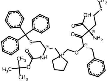 CSCC[C@@](N)(C(=O)O)C(=O)[C@H](Cc1ccccc1)OC[N+]1(C[C@@H](CSC(c2ccccc2)(c2ccccc2)c2ccccc2)NC(=O)OC(C)(C)C)CCCC1